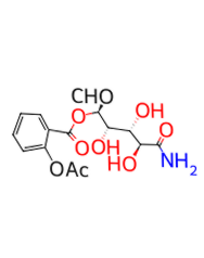 CC(=O)Oc1ccccc1C(=O)O[C@@H](C=O)[C@@H](O)[C@H](O)[C@H](O)C(N)=O